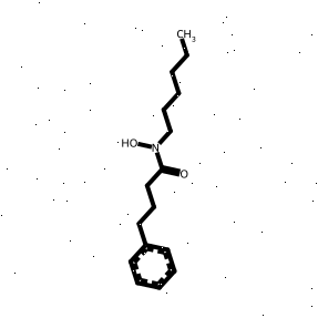 CCCCCCN(O)C(=O)CCCc1ccccc1